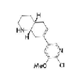 COc1cc(C2=CC[C@H]3CCCN[C@H]3C2)cnc1Cl